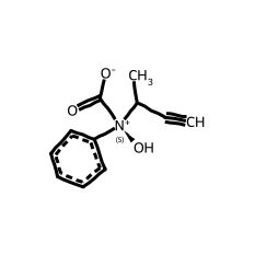 C#CC(C)[N@@+](O)(C(=O)[O-])c1ccccc1